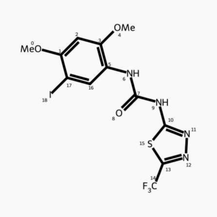 COc1cc(OC)c(NC(=O)Nc2nnc(C(F)(F)F)s2)cc1I